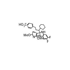 COc1ccc(C2(C(CCc3ccc(C(=O)O)cc3)C3CCCCC3)Nc3cc(F)c(F)cc3N2)c(OC)n1